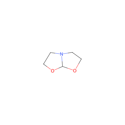 C1CN2CCOC2O1